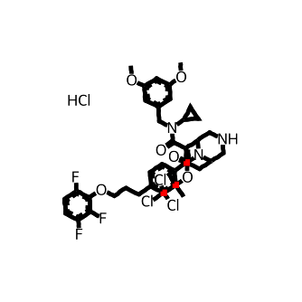 COc1cc(CN(C(=O)C2=C(c3ccc(CCCOc4c(F)ccc(F)c4F)cc3)CC3CNCC2N3C(=O)OC(C)(C)C(Cl)(Cl)Cl)C2CC2)cc(OC)c1.Cl